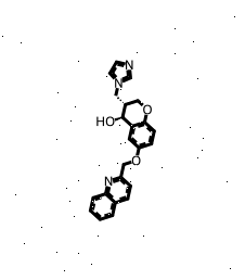 O[C@@H]1c2cc(OCc3ccc4ccccc4n3)ccc2OC[C@H]1Cn1ccnc1